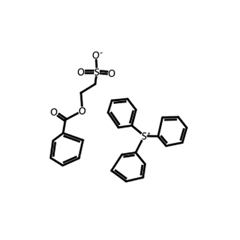 O=C(OCCS(=O)(=O)[O-])c1ccccc1.c1ccc([S+](c2ccccc2)c2ccccc2)cc1